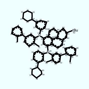 Cc1ccccc1-c1ccc(C)c(N(c2cccc(C3CCCCC3)c2)c2cc(N(c3cccc(C4CCCCC4)c3)c3cc(-c4ccccc4C)ccc3C)c3ccc4cc(C(C)(C)C)cc5ccc2c3c54)c1